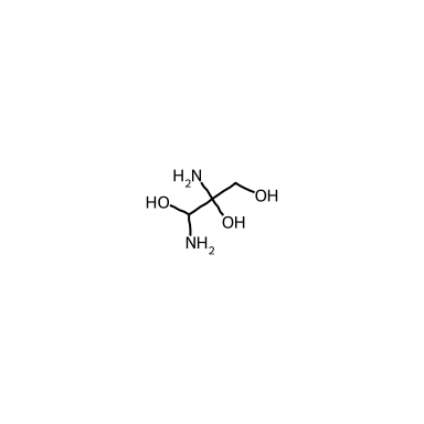 NC(O)C(N)(O)CO